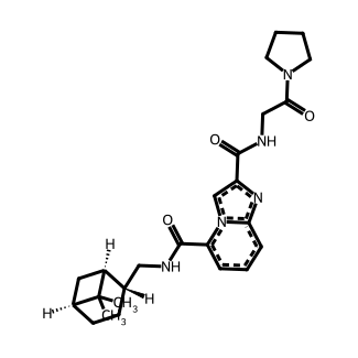 CC1(C)[C@H]2CC[C@@H](CNC(=O)c3cccc4nc(C(=O)NCC(=O)N5CCCC5)cn34)[C@@H]1C2